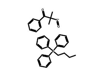 CC(C)([S+]=O)C(=O)c1ccccc1.CCCC[B-](c1ccccc1)(c1ccccc1)c1ccccc1